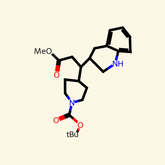 COC(=O)CC(C1CCN(C(=O)OC(C)(C)C)CC1)C1CNc2ccccc2C1